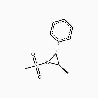 C[C@@H]1[C@@H](c2ccccc2)N1S(C)(=O)=O